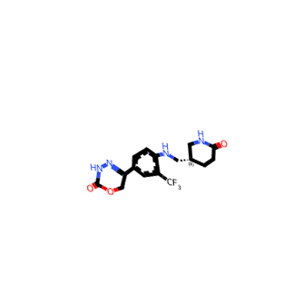 O=C1CC[C@H](CNc2ccc(C3=NNC(=O)OC3)cc2C(F)(F)F)CN1